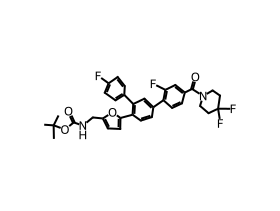 CC(C)(C)OC(=O)NCc1ccc(-c2ccc(-c3ccc(C(=O)N4CCC(F)(F)CC4)cc3F)cc2-c2ccc(F)cc2)o1